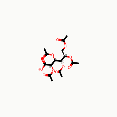 CC(=O)OC[C@@H](OC(C)=O)[C@H](OC(C)=O)[C@H](OC(C)=O)[C@@H](OC(C)=O)C(=O)O